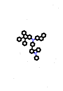 c1ccc(-c2c(-c3ccccc3)c3cc(N(c4ccc(-c5cccc6c5c5ccccc5n6-c5ccccc5)cc4)c4ccc5c(ccc6ccccc65)c4)ccc3c3ccccc23)cc1